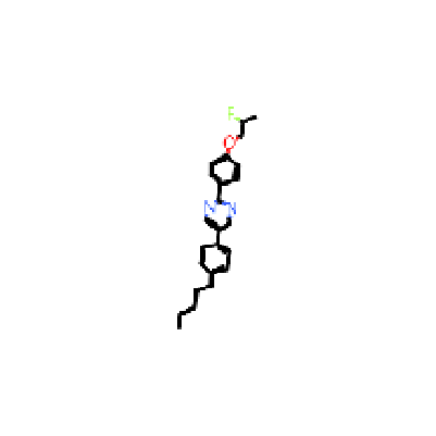 CCCCCc1ccc(-c2cnc(-c3ccc(OCC(C)F)cc3)nc2)cc1